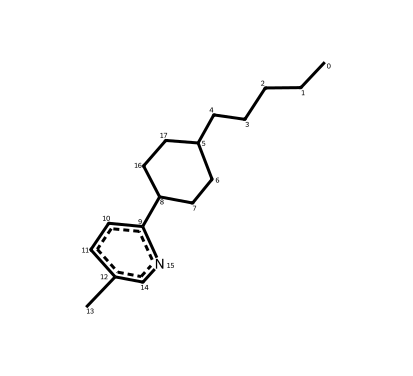 CCCCCC1CCC(c2ccc(C)cn2)CC1